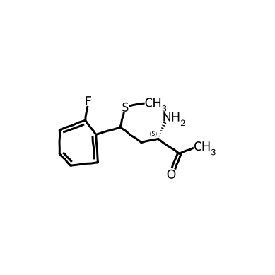 CSC(C[C@H](N)C(C)=O)c1ccccc1F